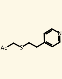 CC(=O)CSCCc1ccncc1